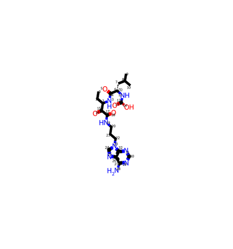 CCC(NC(=O)[C@H](CC(C)C)NC(=O)O)C(=O)C(=O)NCCCn1cnc2c(N)ncnc21